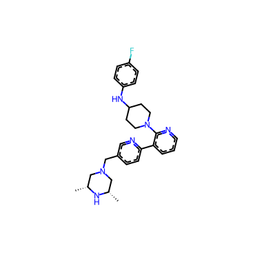 C[C@@H]1CN(Cc2ccc(-c3cccnc3N3CCC(Nc4ccc(F)cc4)CC3)nc2)C[C@H](C)N1